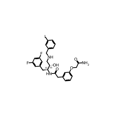 NC(=O)COc1cccc(CC(=O)N[C@@H](Cc2cc(F)cc(F)c2)[C@@H](O)CNCc2cccc(I)c2)c1